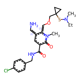 CCN(C)SC1(CO/C=c2/c(=C\N)cc(C(=O)NCc3ccc(Cl)cc3)c(=O)n2C)CC1